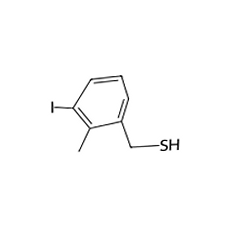 Cc1c(I)cccc1CS